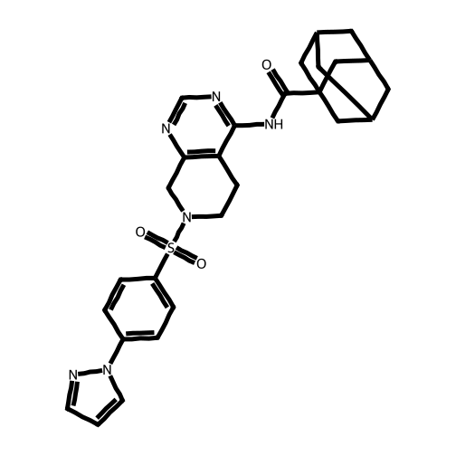 O=C(Nc1ncnc2c1CCN(S(=O)(=O)c1ccc(-n3cccn3)cc1)C2)C12CC3CC(CC(C3)C1)C2